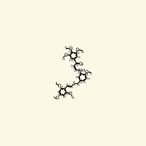 COc1cc(OC)c(/C=C/SCc2ccc(OC)c(N/C=C\C(=O)c3cc(OC)c(OC)c(OC)c3)c2)c(OC)c1